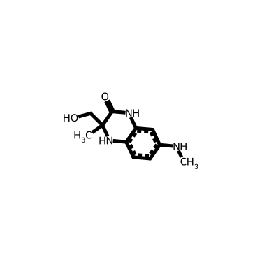 CNc1ccc2c(c1)NC(=O)C(C)(CO)N2